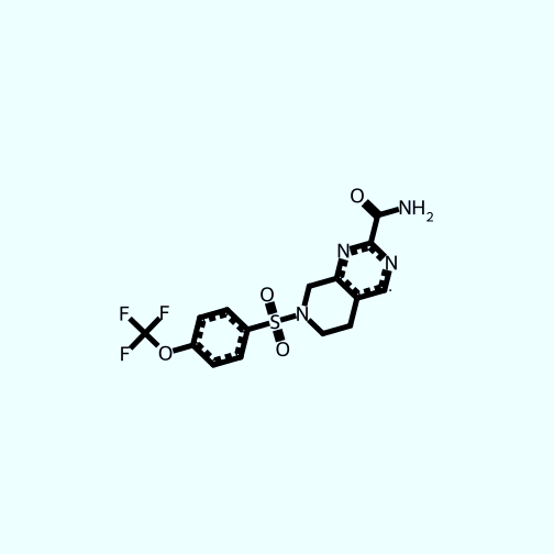 NC(=O)c1n[c]c2c(n1)CN(S(=O)(=O)c1ccc(OC(F)(F)F)cc1)CC2